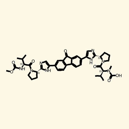 COC(=O)N[C@H](C(=O)N1CCC[C@H]1c1ncc(-c2ccc3c(c2)C(=O)c2cc(-c4cnc([C@@H]5CCCN5C(=O)[C@H](C(C)C)N(C)C(=O)O)[nH]4)ccc2-3)[nH]1)C(C)C